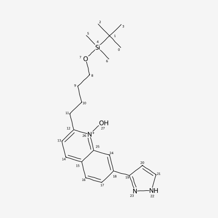 CC(C)(C)[Si](C)(C)OCCCCc1ccc2ccc(-c3cc[nH]n3)cc2[n+]1O